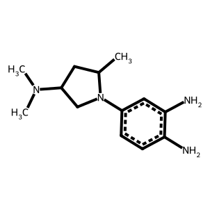 CC1CC(N(C)C)CN1c1ccc(N)c(N)c1